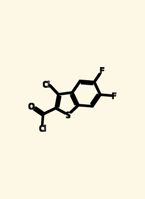 O=C(Cl)c1sc2cc(F)c(F)cc2c1Cl